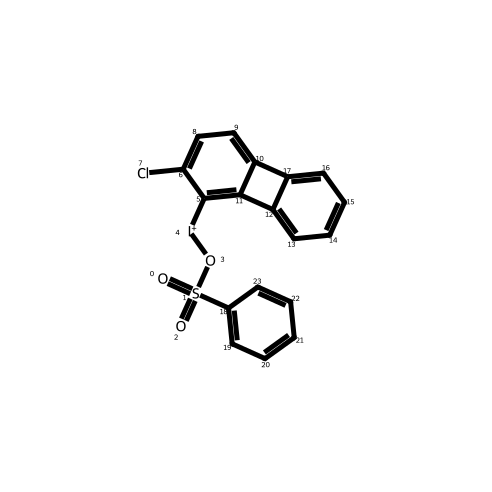 O=S(=O)(O[I+]c1c(Cl)ccc2c1-c1ccccc1-2)c1ccccc1